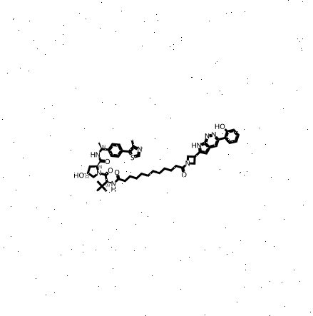 Cc1ncsc1-c1ccc([C@H](C)NC(=O)[C@@H]2C[C@@H](O)CN2C(=O)[C@@H](NC(=O)CCCCCCCCCCC(=O)N2CC(c3cc4cc(-c5ccccc5O)nnc4[nH]3)C2)C(C)(C)C)cc1